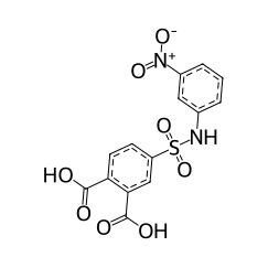 O=C(O)c1ccc(S(=O)(=O)Nc2cccc([N+](=O)[O-])c2)cc1C(=O)O